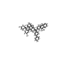 Cc1ccc(N2c3ccc(C)cc3B3c4ccc(N(c5ccc(-c6ccccc6)cc5)c5ccc6c(c5)C(C)(C)c5ccccc5O6)cc4Oc4cccc2c43)cc1